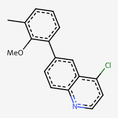 COc1c(C)cccc1-c1ccc2nccc(Cl)c2c1